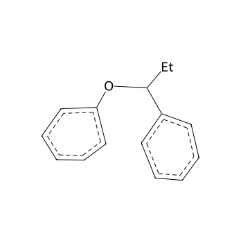 [CH2]CC(Oc1ccccc1)c1ccccc1